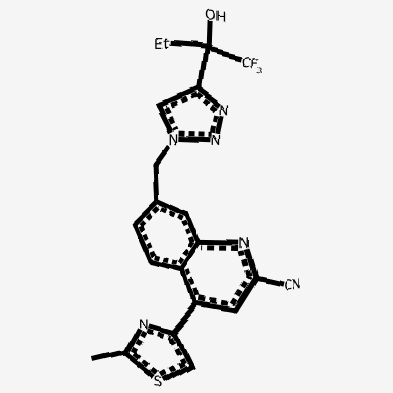 CCC(O)(c1cn(Cc2ccc3c(-c4csc(C)n4)cc(C#N)nc3c2)nn1)C(F)(F)F